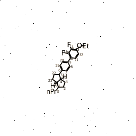 CCCC1CC[C@H]2C(c3ccc(-c4ccc(OCC)c(F)c4F)cc3)CC[C@@H]12